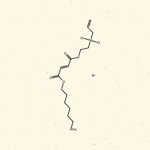 C=CC[N+](CC)(CC)CCOC(=O)C=CC(=O)OCCCCCCCCCCCCCCCC.[Br-]